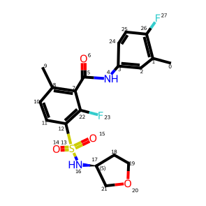 Cc1cc(NC(=O)c2c(C)ccc(S(=O)(=O)N[C@H]3CCOC3)c2F)ccc1F